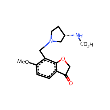 COc1ccc2c(c1CN1CC[C@H](NC(=O)O)C1)OCC2=O